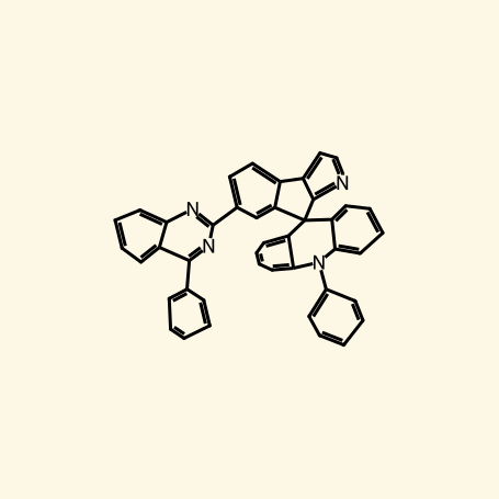 c1ccc(-c2nc(-c3ccc4c(c3)C3(c5ccccc5N(c5ccccc5)c5ccccc53)c3ncccc3-4)nc3ccccc23)cc1